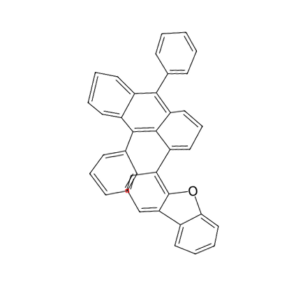 c1ccc(-c2c3ccccc3c(-c3ccccc3)c3c(-c4cccc5c4oc4ccccc45)cccc23)cc1